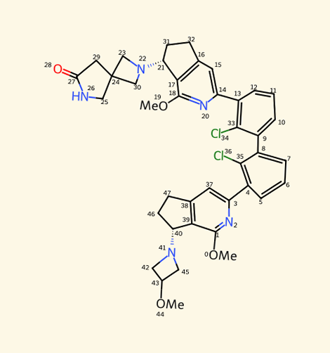 COc1nc(-c2cccc(-c3cccc(-c4cc5c(c(OC)n4)[C@H](N4CC6(CNC(=O)C6)C4)CC5)c3Cl)c2Cl)cc2c1[C@H](N1CC(OC)C1)CC2